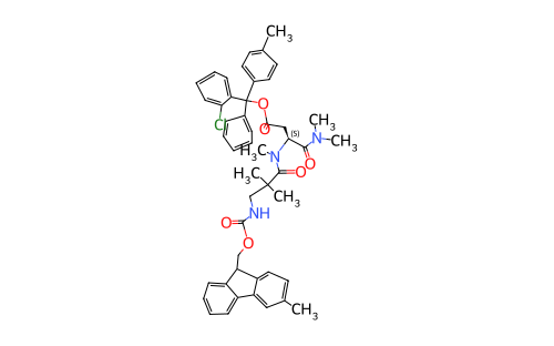 Cc1ccc(C(OC(=O)C[C@@H](C(=O)N(C)C)N(C)C(=O)C(C)(C)CNC(=O)OCC2c3ccccc3-c3cc(C)ccc32)(c2ccccc2)c2ccccc2Cl)cc1